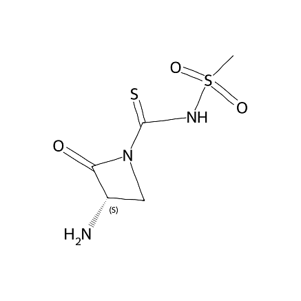 CS(=O)(=O)NC(=S)N1C[C@H](N)C1=O